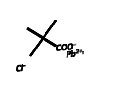 CC(C)(C)C(=O)[O-].[Cl-].[Pb+2]